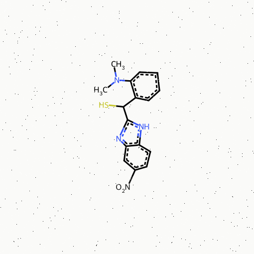 CN(C)c1ccccc1C(S)c1nc2cc([N+](=O)[O-])ccc2[nH]1